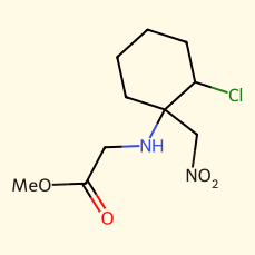 COC(=O)CNC1(C[N+](=O)[O-])CCCCC1Cl